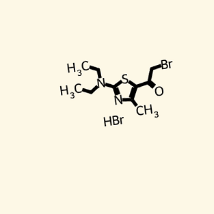 Br.CCN(CC)c1nc(C)c(C(=O)CBr)s1